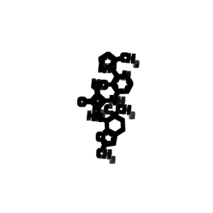 Cc1cc2c(o1)C(Nc1c(Nc3ccnc(-n4nccc4C)c3O)c(=O)c1=O)C(C)(C)CC2